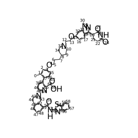 Cc1cc(OCCCC2CCN(CCOc3ccc4c(C5CCC(=O)NC5=O)nn(C)c4c3)CC2)ccc1-c1ccc(N2CCc3cccc(C(=O)Nc4nc5ccccc5s4)c3C2)nc1C(=O)O